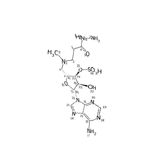 CN(CCC(=O)NN)C[C@H]1O[C@@H](n2cnc3c(N)ncnc32)[C@H](O)[C@@H]1OS(=O)(=O)O